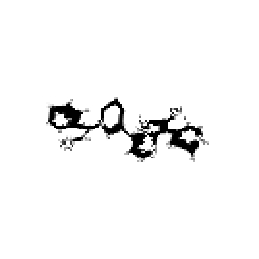 Cc1nn2c([C@@H]3CCCN([C@H](CO)c4ccccc4)C3)ccnc2c1-c1ccncc1